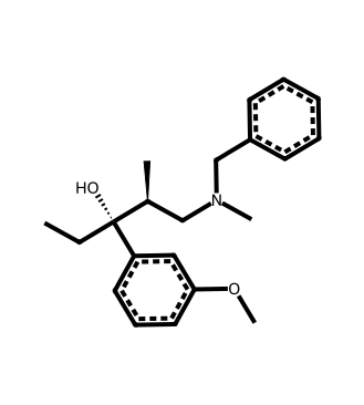 CC[C@](O)(c1cccc(OC)c1)[C@@H](C)CN(C)Cc1ccccc1